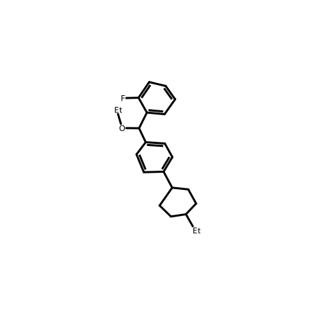 CCOC(c1ccc(C2CCC(CC)CC2)cc1)c1ccccc1F